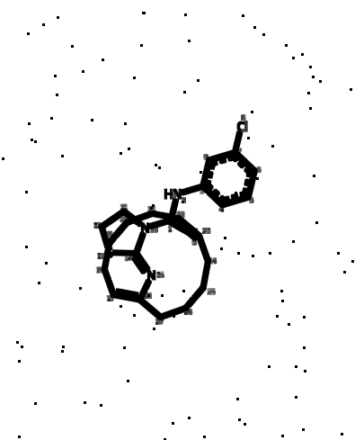 S=C(Nc1cccc(Cl)c1)N1CCS/C1=N\C1=C/CCCC/C=C\CCCC1